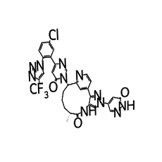 C[C@@H]1CCC[C@H](n2cnc(-c3cc(Cl)ccc3-n3cc(C(F)(F)F)nn3)cc2=O)c2cc(ccn2)-c2nn(-c3cn[nH]c(=O)c3)cc2NC1=O